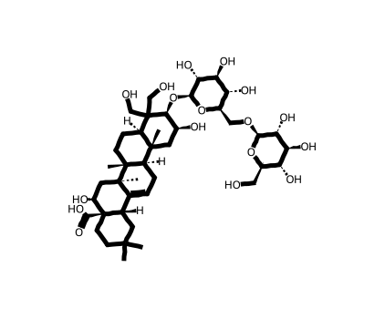 CC1(C)CC[C@]2(C(=O)O)[C@H](O)C[C@]3(C)C(=CC[C@@H]4[C@@]5(C)C[C@H](O)[C@H](O[C@@H]6O[C@H](CO[C@@H]7O[C@H](CO)[C@@H](O)[C@H](O)[C@H]7O)[C@@H](O)[C@H](O)[C@H]6O)C(CO)(CO)[C@@H]5CC[C@]43C)[C@@H]2C1